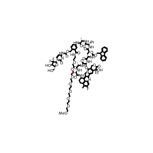 CC[C@@]1(O)C(=O)OCc2c1cc1n(c2=O)Cc2c-1nc1cc(F)c(C)c3c1c2[C@@H](NC(=O)[C@H](C)NC(=O)[C@H](C)NC(=O)[C@H](C)NC(=O)[C@H](CCC(=O)N[C@H](C(=O)N[C@@H](C)C(=O)Nc1ccc(COC(=O)Nc2ccn([C@@H]4O[C@H](CO)[C@@H](O)C4(F)F)c(=O)n2)c(C(=O)NCCOCCOCCOCCOCCOCCOCCOCCOC)c1)C(C)C)NC(=O)OCC1c2ccccc2-c2ccccc21)CC3